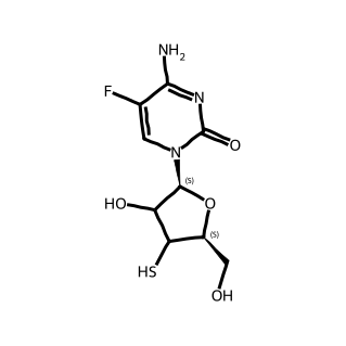 Nc1nc(=O)n([C@H]2O[C@@H](CO)C(S)C2O)cc1F